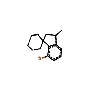 CC1CC2(CCCCC2)c2c(Br)cccc21